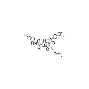 NCCCC[C@@H]1C(=O)N2C[C@@H](NC(=O)Nc3ccc(C(F)(F)F)cc3)C[C@H]2CN1C(=O)Nc1ccc(C(F)(F)F)cc1